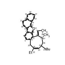 C/C=C1/c2c(ccc3c2oc2c4ccccc4ccc32)C/C(CC)=C\C(C(C)CC)CN1C